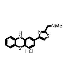 CNCc1nc(-c2ccc3c(c2)Nc2ccccc2S3)cs1.Cl